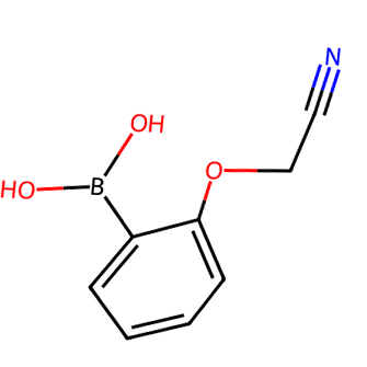 N#CCOc1ccccc1B(O)O